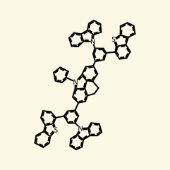 c1ccc(-n2c3cc(-c4cc(-c5cccc6c5sc5ccccc56)cc(-n5c6ccccc6c6ccccc65)c4)cc4c3c3c(cc(-c5cc(-c6cccc7c6sc6ccccc67)cc(-n6c7ccccc7c7ccccc76)c5)cc32)CC4)cc1